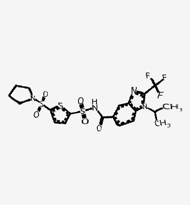 CC(C)n1c(C(F)(F)F)nc2cc(C(=O)NS(=O)(=O)c3ccc(S(=O)(=O)N4CCCC4)s3)ccc21